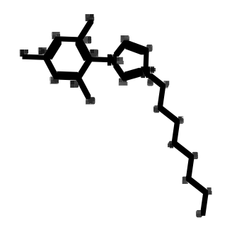 CCCCCCCC[n+]1ccn(-c2c(C)cc(C)cc2C)c1